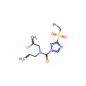 C=CCN(CC(=C)Cl)C(=O)n1cnc(S(=O)(=O)CC(C)C)n1